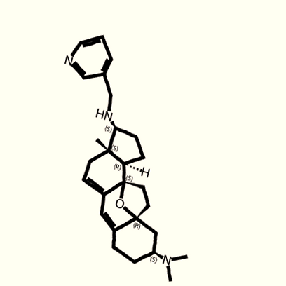 CN(C)[C@H]1CCC2=CC3=CC[C@]4(C)[C@@H](NCc5cccnc5)CC[C@H]4[C@@]34CC[C@]2(C1)O4